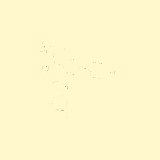 CCC(C)N1CC=C(c2ccc3c(c2)C(Nc2cccc(Cl)c2)CCN/C3=C(/C)NN)CC1